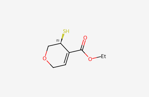 CCOC(=O)C1=CCOC[C@H]1S